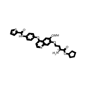 COc1cc2c(Oc3ccc(NC(=O)c4cccs4)cc3)ccnc2cc1OCC[C@H](N)C(=O)OC1CCCC1